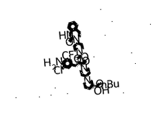 CCCCOC(O)[C@H]1CCCN(C2CCN(C(=O)[C@@H](Cc3cc(Cl)c(N)c(C(F)(F)F)c3)OC(=O)N3CCC(N4CCc5ccccc5NC4=O)CC3)CC2)C1